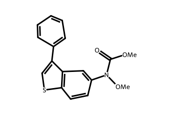 COC(=O)N(OC)c1ccc2scc(-c3ccccc3)c2c1